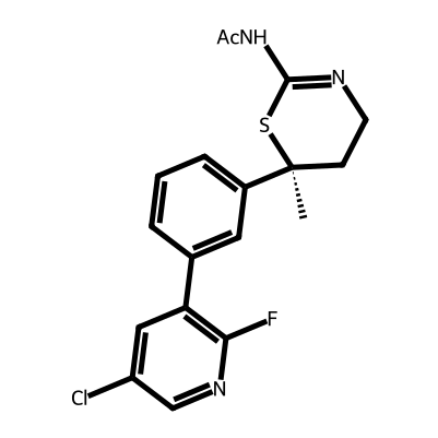 CC(=O)NC1=NCC[C@@](C)(c2cccc(-c3cc(Cl)cnc3F)c2)S1